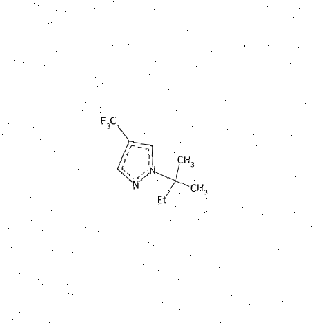 CCC(C)(C)n1cc(C(F)(F)F)cn1